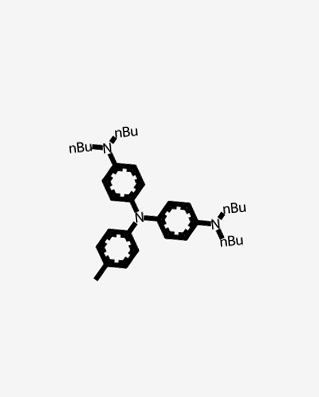 CCCCN(CCCC)c1ccc(N(c2ccc(C)cc2)c2ccc(N(CCCC)CCCC)cc2)cc1